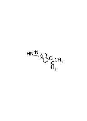 CC(C)Oc1cccc2c1CCCN2Cc1c[nH]cn1